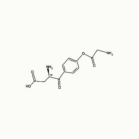 NCC(=O)Oc1ccc(C(=O)[C@H](N)CC(=O)O)cc1